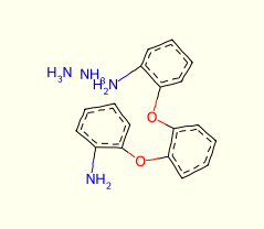 N.N.Nc1ccccc1Oc1ccccc1Oc1ccccc1N